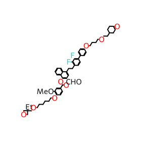 CCC1(COCCCCCCOc2ccc(C(=O)Oc3c(C=O)cc(CCc4ccc(-c5ccc(OCCCCOCCC6CCC7OC7C6)cc5)c(F)c4F)c4ccccc34)cc2OC)COC1